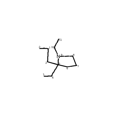 CCCC1(CC)CCCN1CC